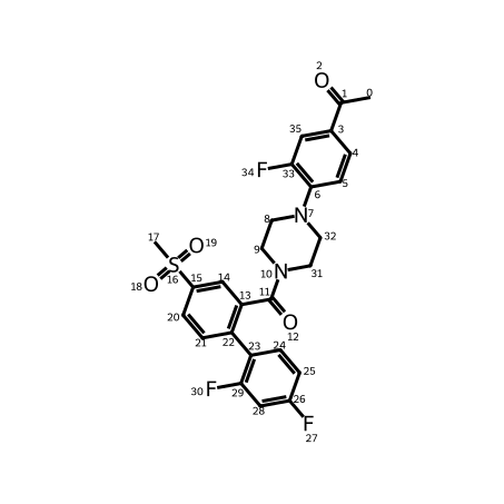 CC(=O)c1ccc(N2CCN(C(=O)c3cc(S(C)(=O)=O)ccc3-c3ccc(F)cc3F)CC2)c(F)c1